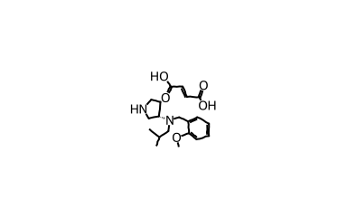 COc1ccccc1CN(CC(C)C)[C@H]1CCNC1.O=C(O)/C=C/C(=O)O